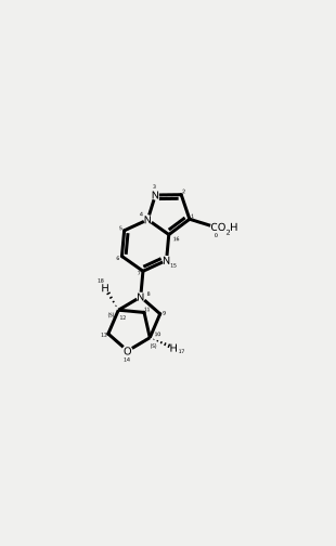 O=C(O)c1cnn2ccc(N3C[C@@H]4C[C@H]3CO4)nc12